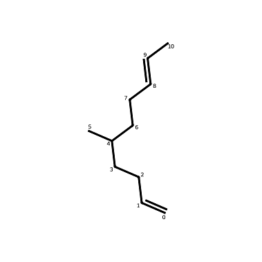 C=CCCC(C)CCC=CC